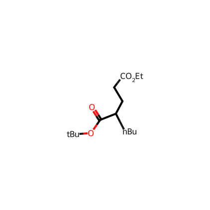 CCCCC(CCC(=O)OCC)C(=O)OC(C)(C)C